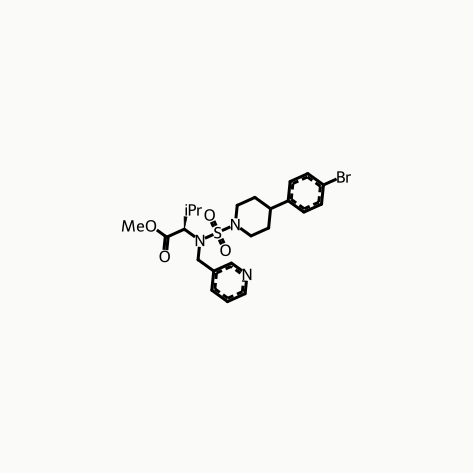 COC(=O)[C@@H](C(C)C)N(Cc1cccnc1)S(=O)(=O)N1CCC(c2ccc(Br)cc2)CC1